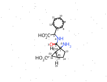 N[C@@]1(C(=O)NC(C(=O)O)c2ccccc2)CC[C@H]2[C@H](C(=O)O)[C@H]21